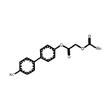 CCC(C)C(=O)OCC(=O)Oc1ccc(-c2ccc(C#N)cc2)cc1